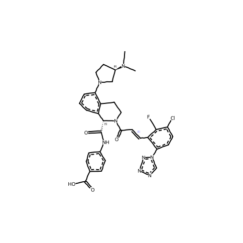 CN(C)[C@@H]1CCN(c2cccc3c2CCN(C(=O)/C=C/c2c(-n4cnnn4)ccc(Cl)c2F)[C@@H]3C(=O)Nc2ccc(C(=O)O)cc2)C1